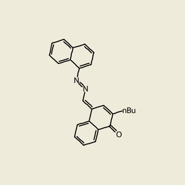 CCCCC1=CC(=CN=Nc2cccc3ccccc23)c2ccccc2C1=O